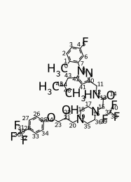 Cc1ccc(F)cc1-n1nc(CNC(=O)[C@@H](N2CCN(CC(O)COc3ccc(C(F)(F)F)cc3)CC2)C(F)(F)F)cc1CC(C)C